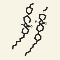 CCCCCCCC1CCC(C2CCC3(CC2)C(=O)[C@]2(CC[C@@H](CCC)CC2)[C@H]3F)CC1.CCCCCCCC1CC[C@]2(CC1)C(=O)[C@@]1(CC[C@H](C3CCC(CC)CC3)CC1)[C@@H]2F